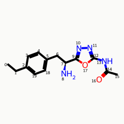 CCc1ccc(C[C@H](N)c2nnc(NC(C)=O)o2)cc1